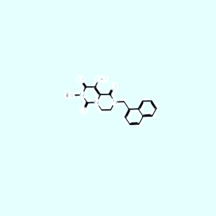 CC(C)n1c(=O)c(O)c2n(c1=O)CCN(Cc1cccc3ccccc13)C2=O